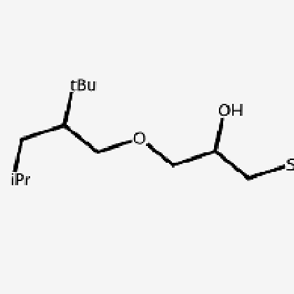 CC(C)CC(COCC(O)CS)C(C)(C)C